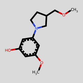 COCC1CCN(c2cc(O)cc(OC)c2)C1